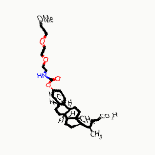 COCCOCCOCCNC(=O)O[C@H]1CC[C@@]2(C)[C@H](CC[C@@H]3[C@@H]2CC[C@]2(C)[C@@H]([C@H](C)CCC(=O)O)CC[C@@H]32)C1